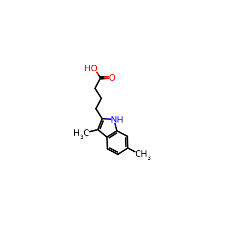 Cc1ccc2c(C)c(CCCC(=O)O)[nH]c2c1